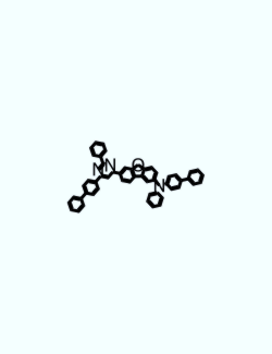 c1ccc(-c2ccc(-c3cc(-c4ccc5c(c4)oc4ccc(N(c6ccccc6)c6ccc(-c7ccccc7)cc6)cc45)nc(-c4ccccc4)n3)cc2)cc1